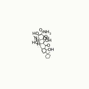 C[C@H]1c2ccc(C3(C)CCCC3)c(O)c2C(=O)C2=C(O)[C@]3(O)C(=O)C(C(N)=O)=C(O)[C@@H](N(C)C)[C@@H]3[C@@H](O)[C@@H]21